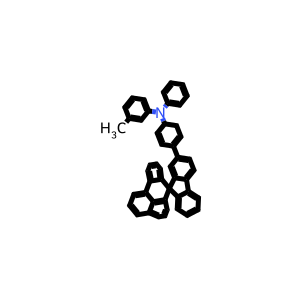 Cc1cccc(N(c2ccccc2)C2C=CC(c3ccc4c(c3)C3(c5ccccc5-4)c4ccccc4-c4cccc5cccc3c45)=CC2)c1